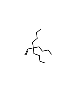 [CH]=CC(CCCC)(CCCC)CCCC